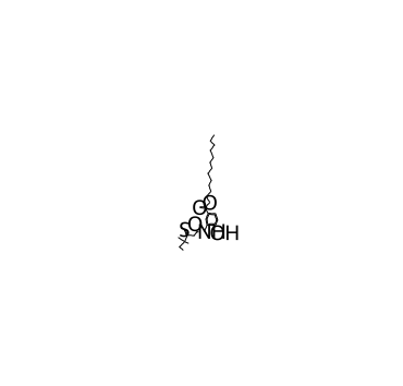 CCCCCCCCCCCCOC(=O)c1ccc(O)c(NC(=O)CC(=S)C(C)(C)CC)c1